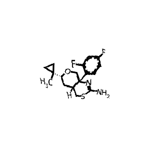 CC1([C@H]2C[C@H]3CSC(N)=N[C@@]3(c3ccc(F)cc3F)CO2)CC1